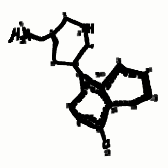 NC1CNCC(c2ccc(Cl)c3ccccc23)C1